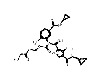 Cc1ccc(C(=O)NC2CC2)cc1N(C(=N)c1[nH]cc(C(=O)NC2CC2)c1C)C(=O)OCOC(=O)CO